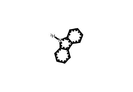 [2H]n1c2ccccc2c2ccccc21